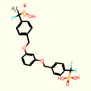 CC(F)(c1ccc(COc2cccc(OCc3ccc(C(F)(F)P(=O)(O)O)cc3)c2)cc1)[PH](=O)O